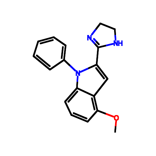 COc1cccc2c1cc(C1=NCCN1)n2-c1ccccc1